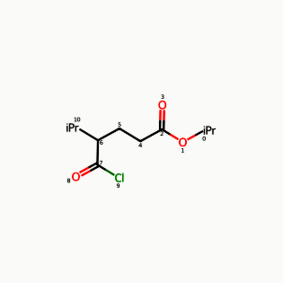 CC(C)OC(=O)CCC(C(=O)Cl)C(C)C